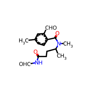 Cc1ccc(C(=O)N(C)C(C)CCC(=O)NC=O)c(C=O)c1